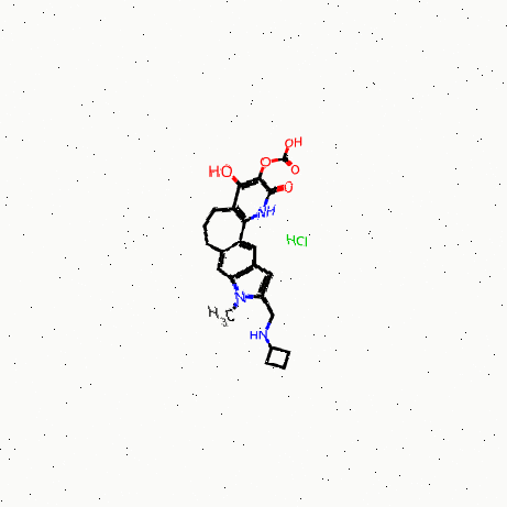 Cl.Cn1c(CNC2CCC2)cc2cc3c(cc21)CCCc1c-3[nH]c(=O)c(OC(=O)O)c1O